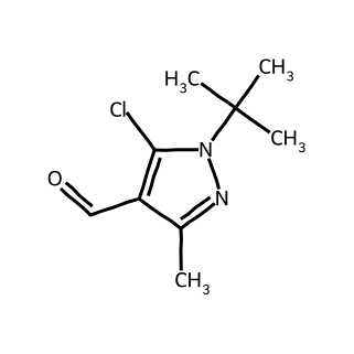 Cc1nn(C(C)(C)C)c(Cl)c1C=O